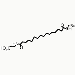 CCCCNC(=O)CCCCCCCCCCCCCCC(=O)NCCC(=O)O